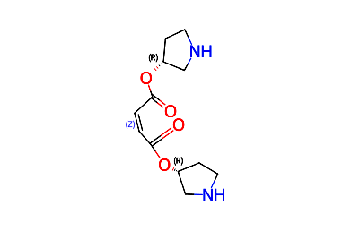 O=C(/C=C\C(=O)O[C@@H]1CCNC1)O[C@@H]1CCNC1